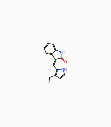 CCc1cc[nH]c1/C=C1\C(=O)Nc2ccccc21